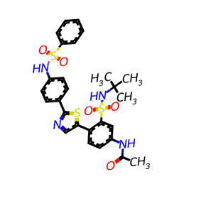 CC(=O)Nc1ccc(-c2cnc(-c3ccc(NS(=O)(=O)c4ccccc4)cc3)s2)c(S(=O)(=O)NC(C)(C)C)c1